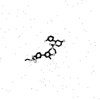 CCNc1nc2ccc(-c3cc(C)c4c(c3)CN(C(=O)N3CCC(=O)CC3c3cccc(F)c3)CCO4)cc2[nH]1